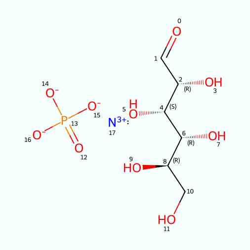 O=C[C@H](O)[C@@H](O)[C@H](O)[C@H](O)CO.O=P([O-])([O-])[O-].[N+3]